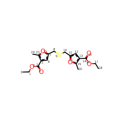 CCOC(=O)c1cc(CSCc2cc(C(=O)OCC)c(C)o2)oc1C